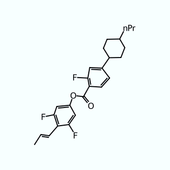 C/C=C/c1c(F)cc(OC(=O)c2ccc(C3CCC(CCC)CC3)cc2F)cc1F